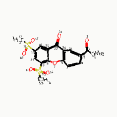 COC(=O)c1ccc2oc3c(S(C)(=O)=O)cc(S(C)(=O)=O)cc3c(=O)c2c1